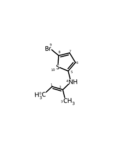 CC=C(C)Nc1ccc(Br)s1